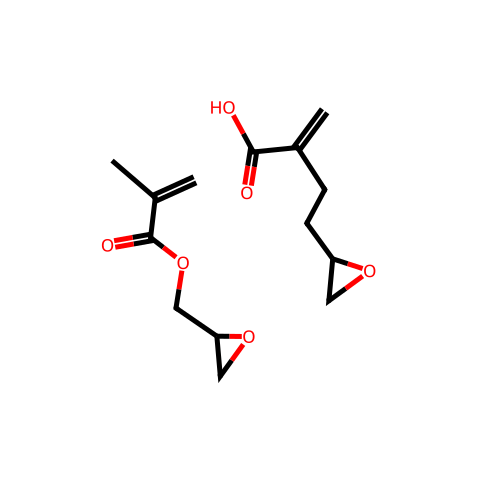 C=C(C)C(=O)OCC1CO1.C=C(CCC1CO1)C(=O)O